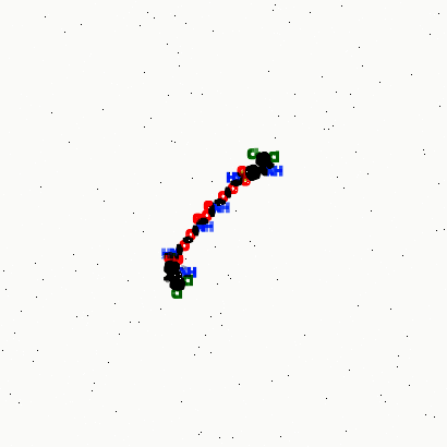 CNCc1c(Cl)cc(Cl)cc1[C@@H](C)c1ccc(S(=O)(=O)NCCOCCOCCNC(=O)COCC(=O)NCCOCCOCCNS(=O)(=O)c2ccc([C@@H]3CNCc4c(Cl)cc(Cl)cc43)cc2)cc1